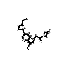 CCc1ccc(-c2cnc3c(Cl)cn(CC(=O)N4CC(F)C4)c3c2)s1